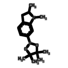 CC1Cc2ccc(B3OC(C)(C)C(C)(C)O3)cc2N1C